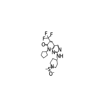 C[S+]([O-])N1CCC(Nc2ncc3cc(C(F)(F)F)c(=O)n(C4CCCC4)c3n2)CC1